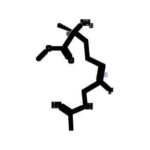 COC(=O)[C@@](C)(N)CC/C=C(/F)CNC(C)=N